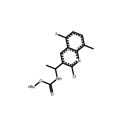 CCCCOC(=O)NC(C)c1cc2c(F)ccc(C)c2nc1Cl